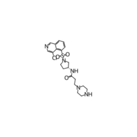 O=C(CCN1CCNCC1)N[C@@H]1CCN(S(=O)(=O)c2cccc3cncc(Cl)c23)C1